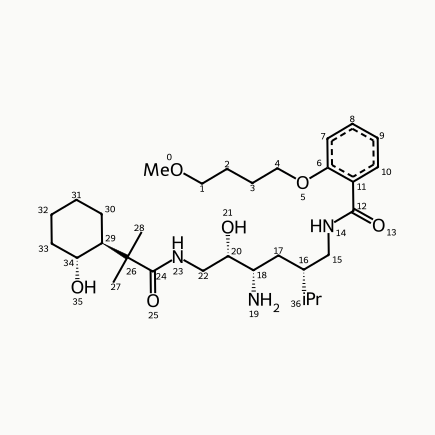 COCCCCOc1ccccc1C(=O)NC[C@@H](C[C@H](N)[C@@H](O)CNC(=O)C(C)(C)[C@@H]1CCCC[C@H]1O)C(C)C